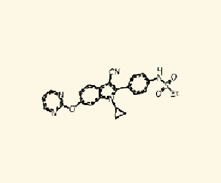 CCS(=O)(=O)Nc1ccc(-c2c(C#N)c3ccc(Oc4ncccn4)cc3n2C2CC2)cc1